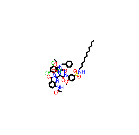 CCCCCCCCCCCCNS(=O)(=O)c1ccc(OC)c(NC(=O)C(c2nc3c(NC(C)=O)cccc3c(=O)n2-c2c(Cl)cc(Cl)cc2Cl)N2C(=O)C(OCC)N(Cc3ccccc3)C2=O)c1